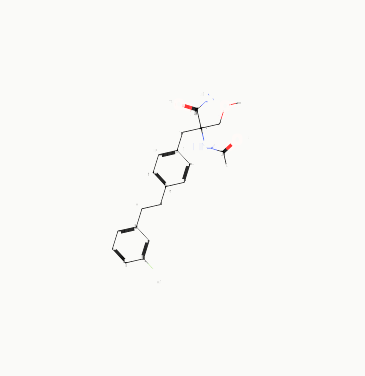 COCC(Cc1ccc(CCc2cccc(F)c2)cc1)(NC(C)=O)C(N)=O